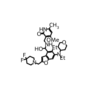 CCc1c(N(CC)C2CCOCC2)cc2oc(CN3CCC(F)(F)CC3)cc2c1C(O)NCc1c(OC)cc(C)[nH]c1=O